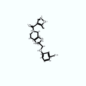 Cc1oncc1C(=O)N1CCc2nc(COc3cccc(F)c3)oc2C1